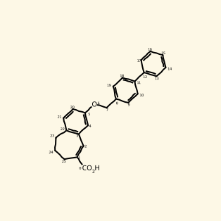 O=C(O)C1=Cc2cc(OCc3ccc(-c4ccccc4)cc3)ccc2CCC1